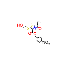 CC=C1C(=O)N2C(C(=O)OCc3ccc([N+](=O)[O-])cc3)=C(SCCO)SC12